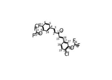 O=C(/C=C/c1ccc(Cl)c(OC(F)F)c1)/C=C/c1ccc(Cl)c(OC(F)F)c1